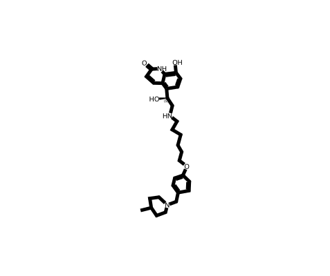 CC1CCN(Cc2ccc(OCCCCCCNC[C@@H](O)c3ccc(O)c4[nH]c(=O)ccc34)cc2)CC1